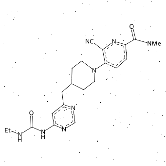 CCNC(=O)Nc1cc(CC2CCN(c3ccc(C(=O)NC)nc3C#N)CC2)ncn1